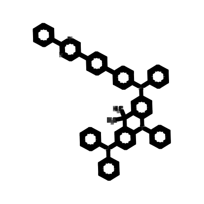 CC1(C)c2cc(N(c3ccccc3)c3ccccc3)ccc2N(c2ccccc2)c2ccc(N(c3ccccc3)c3ccc(-c4ccc(-c5cnc(-c6ccccc6)nc5)cc4)cc3)cc21